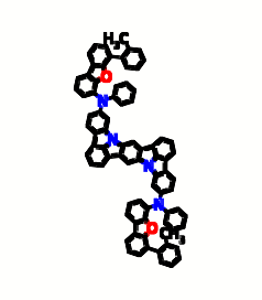 Cc1ccccc1-c1cccc2c1oc1c(N(c3ccccc3)c3ccc4c5cccc6c7cc8c(cc7n(c4c3)c56)c3cccc4c5ccc(N(c6ccccc6)c6cccc7c6oc6c(-c9ccccc9C)cccc67)cc5n8c43)cccc12